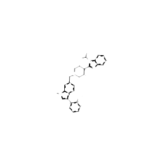 Cn1cc(-c2ccccc2F)c2ccc(CN3CCC(c4nc5ccccc5n4C(F)F)CC3)cc21